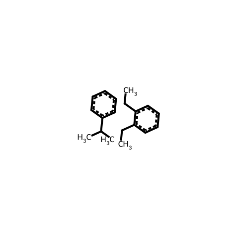 CC(C)c1ccccc1.CCc1ccccc1CC